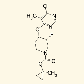 Cc1c(Cl)ncnc1O[C@H]1CCN(C(=O)OC2(C)CC2)C[C@H]1F